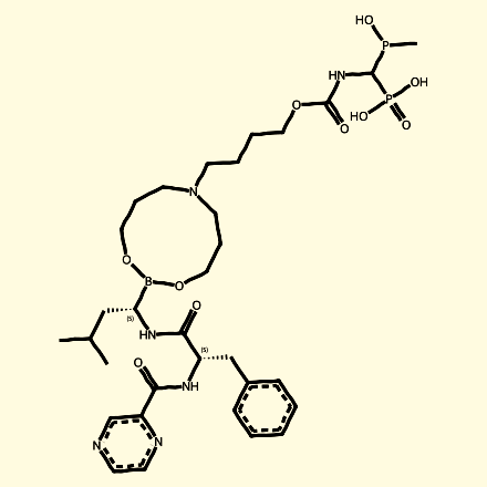 CC(C)C[C@@H](NC(=O)[C@H](Cc1ccccc1)NC(=O)c1cnccn1)B1OCCCN(CCCCOC(=O)NC(P(C)O)P(=O)(O)O)CCCO1